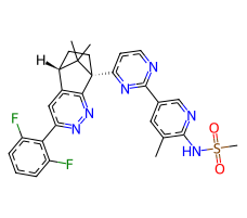 Cc1cc(-c2nccc([C@]34CC[C@@H](c5cc(-c6c(F)cccc6F)nnc53)C4(C)C)n2)cnc1NS(C)(=O)=O